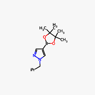 CC(C)Cn1cc(B2OC(C)(C)C(C)(C)O2)cn1